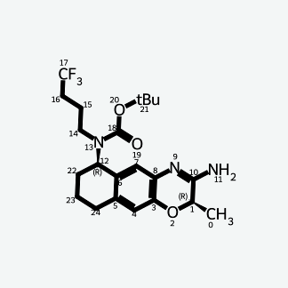 C[C@H]1Oc2cc3c(cc2N=C1N)[C@H](N(CCCC(F)(F)F)C(=O)OC(C)(C)C)CCC3